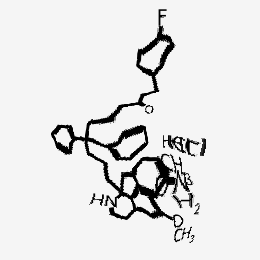 COc1cc2c(cc1OC)C(CCCC(CCCC(=O)CCc1ccc(F)cc1)(c1ccccc1)c1ccccc1)(Cc1ccc(N)cc1)NCC2.Cl.Cl